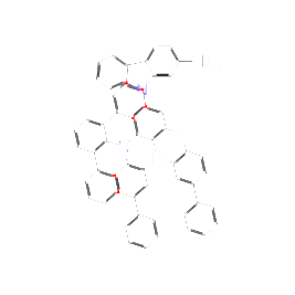 CC(C)(C)c1ccc2c3ccccc3n(-c3cc4c5c(c3)N(c3c(-c6ccccc6)cccc3-c3ccccc3)c3ccc(-c6ccccc6)cc3B5c3cc(-c5ccccc5)ccc3S4)c2c1